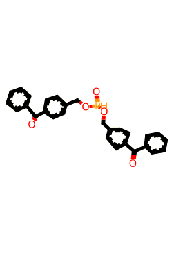 O=C(c1ccccc1)c1ccc(CO[PH](=O)OCc2ccc(C(=O)c3ccccc3)cc2)cc1